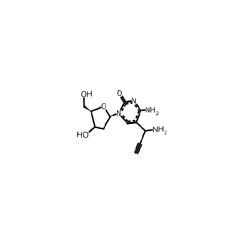 C#CC(N)c1cn([C@H]2CC(O)[C@@H](CO)O2)c(=O)nc1N